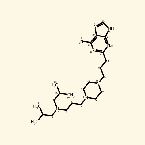 CC(C)CN(CCCN1CCN(CCCc2nc(N)c3nc[nH]c3n2)CC1)CC(C)C